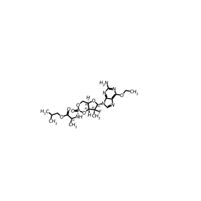 CCOc1nc(N)nc2c1ncn2[C@@H]1O[C@@H]2CO[P@@](=O)(N[C@@H](C)C(=O)OCC(C)C)O[C@H]2[C@@]1(C)F